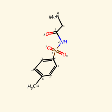 CNCC(=O)NS(=O)(=O)c1ccc(C)cc1